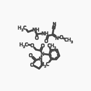 CCNC(=O)NC(=O)/C(C#N)=N/OC.COCC(=O)N(c1c(C)cccc1C)N1CCOC1=O